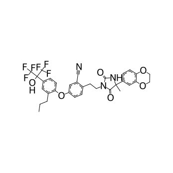 CCCc1cc(C(O)(C(F)(F)F)C(F)(F)F)ccc1Oc1ccc(CCN2C(=O)NC(C)(c3ccc4c(c3)OCCO4)C2=O)c(C#N)c1